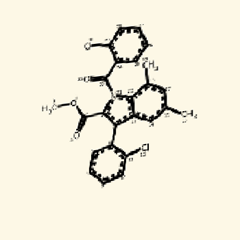 COC(=O)c1c(-c2ccccc2Cl)c2cc(C)cc(C)c2n1C(=O)c1ccccc1Cl